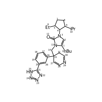 CCCCc1cn(C2C(CC)CCC2C(C)C)c(=O)n1CC1(c2cccc(-c3nnn[nH]3)c2)C=CN=CC1